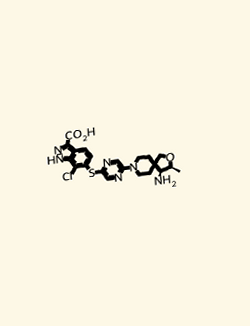 C[C@@H]1OCC2(CCN(c3cnc(Sc4ccc5c(C(=O)O)n[nH]c5c4Cl)cn3)CC2)[C@@H]1N